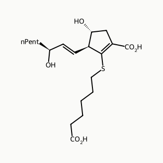 CCCCC[C@H](O)/C=C/[C@@H]1C(SCCCCCC(=O)O)=C(C(=O)O)C[C@H]1O